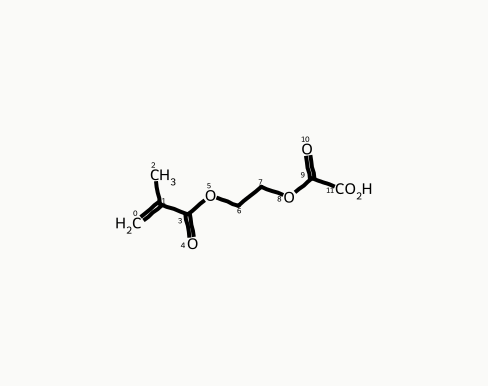 C=C(C)C(=O)OCCOC(=O)C(=O)O